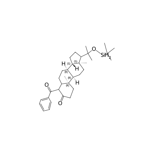 CC(C)(C)[SiH2]OC(C)(C)C1CC[C@H]2[C@@H]3CCC4C(C(=O)c5ccccc5)C(=O)CC[C@]4(C)[C@@H]3CC[C@]12C